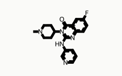 CN1CCC(n2c(Nc3cccnc3)nc3ccc(F)cc3c2=O)CC1